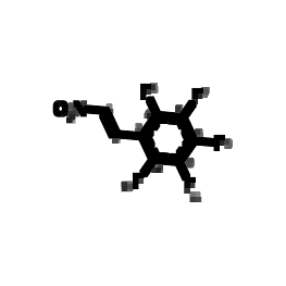 O=[N+]([O-])C=Cc1c(F)c(F)c(F)c(F)c1F